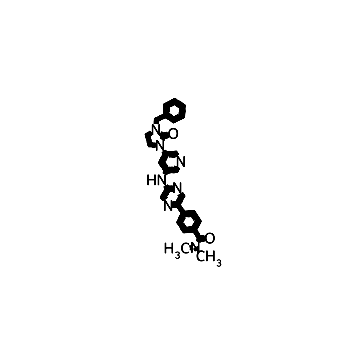 CN(C)C(=O)c1ccc(-c2cnc(Nc3cncc(N4CCN(Cc5ccccc5)C4=O)c3)cn2)cc1